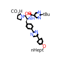 CCCCCCCOc1ccc(-c2cnc(-c3ccc(C[C@H](NC(=O)c4cnc(C(C)(C)C)nc4)C(O)N4CCC[C@H]4C(=O)O)cc3)nc2)cc1